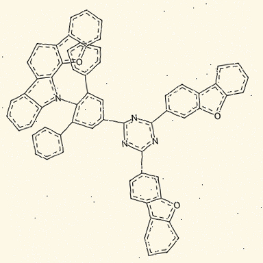 c1ccc(-c2cc(-c3nc(-c4ccc5c(c4)oc4ccccc45)nc(-c4ccc5c(c4)oc4ccccc45)n3)cc(-c3ccccc3)c2-n2c3ccccc3c3ccc4c5ccccc5oc4c32)cc1